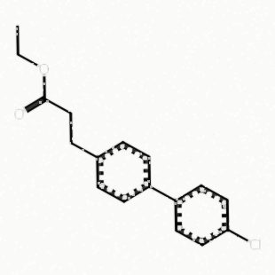 CCOC(=O)CCc1ccc(-c2ccc(Cl)cc2)cc1